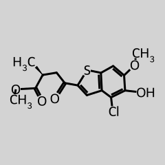 COC(=O)[C@@H](C)CC(=O)c1cc2c(Cl)c(O)c(OC)cc2s1